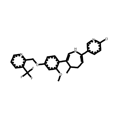 COc1cc(OCc2ncccc2C(F)(F)F)ccc1C1=CNC(c2ccc(Cl)nc2)=CCC1C